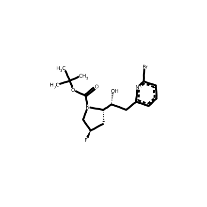 CC(C)(C)OC(=O)N1C[C@H](F)C[C@H]1[C@H](O)Cc1cccc(Br)n1